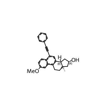 COc1ccc2c(C#Cc3ccccc3)cc3c(c2c1)CC[C@]1(C)C[C@H](O)C[C@@H]31